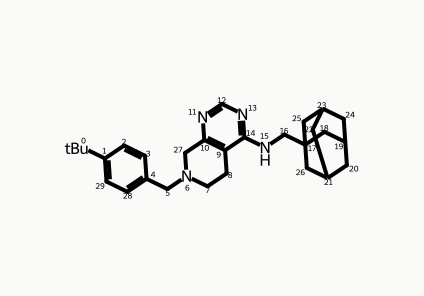 CC(C)(C)c1ccc(CN2CCc3c(ncnc3NCC34CC5CC(CC(C5)C3)C4)C2)cc1